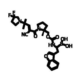 CC(C)(C=C(C#N)C(=O)N1CCC[C@]1(C)COC(=O)NC(Cc1coc2ccccc12)B(O)O)N1CCC(F)(F)C1